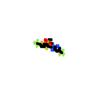 CCS(=O)(=O)c1c(-c2nc3cc(C(F)(F)F)cnc3n2C)sc2cc(C(F)(F)F)sc12